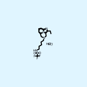 CCc1nc2cccc3n2c1CN(CCCCCNS(=O)(=O)C(F)(F)F)C3.Cl.Cl